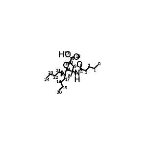 CCCCC(=O)N[C@@](C)(CCC(=O)O)C(=O)N(CCCC)CCCC